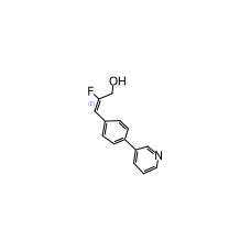 OC/C(F)=C\c1ccc(-c2cccnc2)cc1